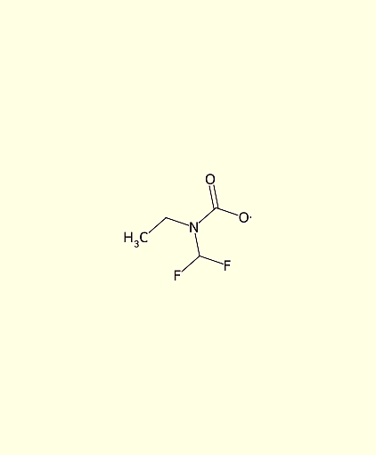 CCN(C([O])=O)C(F)F